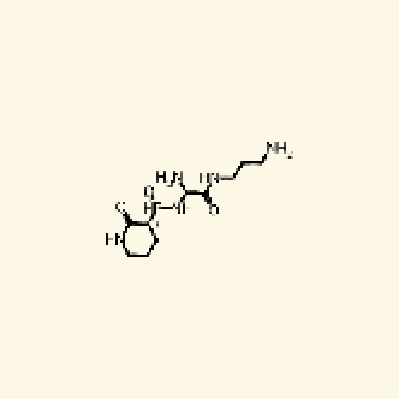 NCCCNC(=O)C(N)N[PH](=O)[C@H]1CCCNC1=O